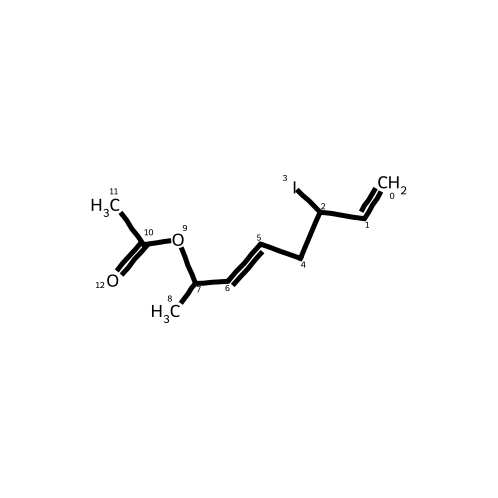 C=CC(I)CC=CC(C)OC(C)=O